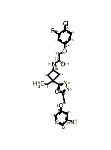 CCC1(c2nnc(COc3cncc(Cl)c3)o2)CC(NC(O)COc2ccc(Cl)c(F)c2)C1